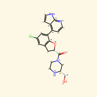 O=C([C@@H]1Cc2cc(Cl)cc(-c3ccnc4[nH]ccc34)c2O1)N1CCN[C@@H](CO)C1